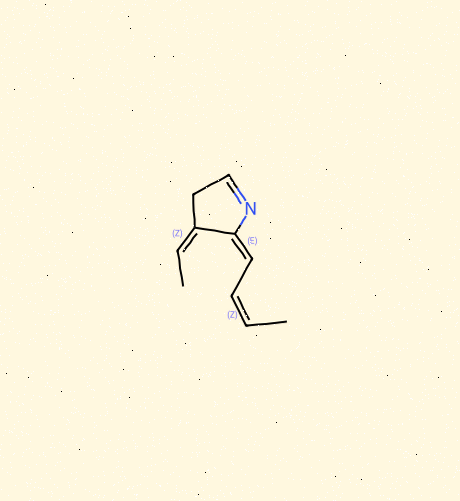 C\C=C/C=C1/N=CC/C1=C/C